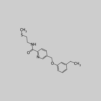 CCc1cccc(OCc2ccc(C(=O)NCCSC)nc2)c1